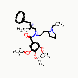 CCN1CCCC1CCN(C/C(C)=C/c1ccccc1)C(=O)c1cc(OC)c(OC)c(OC)c1